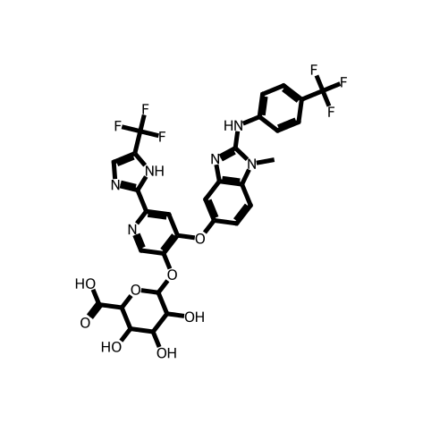 Cn1c(Nc2ccc(C(F)(F)F)cc2)nc2cc(Oc3cc(-c4ncc(C(F)(F)F)[nH]4)ncc3OC3OC(C(=O)O)C(O)C(O)C3O)ccc21